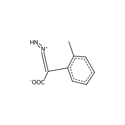 Cc1ccccc1C(=[N+]=N)C(=O)[O-]